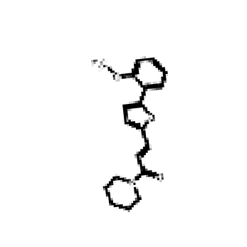 O=C(/C=C/c1ccc(-c2ccccc2OC(F)(F)F)o1)N1CCCCC1